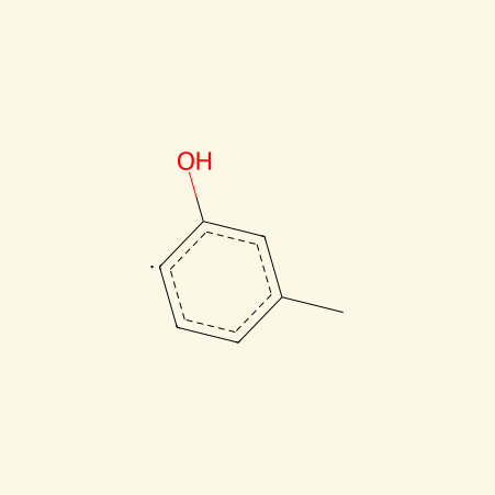 Cc1cc[c]c(O)c1